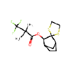 CC(C)(C(=O)OC1C2CCC(C2)C12SCCS2)C(F)(F)F